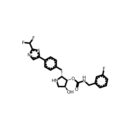 O=C(NCc1cccc(F)c1)O[C@@H]1[C@@H](O)CN[C@@H]1Cc1ccc(-c2cnc(C(F)F)s2)cc1